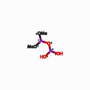 COP(OC)OP(O)O